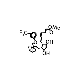 COC(=O)C=C/C=C\CC[C@@H]1[C@@H](CCC2(COc3cccc(C(F)(F)F)c3)OCCO2)[C@H](O)C[C@@H]1O